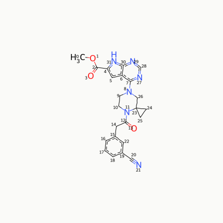 COC(=O)c1cc2c(N3CCN(C(=O)Cc4cccc(C#N)c4)C4(CC4)C3)ncnc2[nH]1